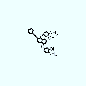 Nc1ccc(Oc2cccc3c(Oc4ccc(N)c(O)c4)c(C#Cc4ccccc4)ccc23)cc1O